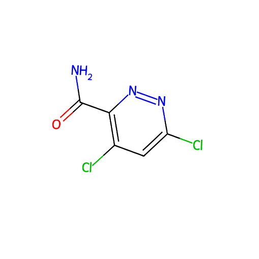 NC(=O)c1nnc(Cl)cc1Cl